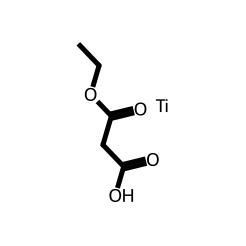 CCOC(=O)CC(=O)O.[Ti]